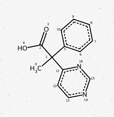 CC(C(=O)O)(c1ccccc1)c1ccncn1